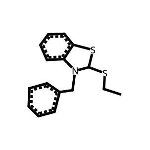 CCSC1Sc2ccccc2N1Cc1ccccc1